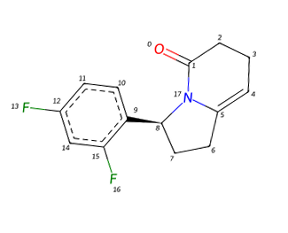 O=C1CCC=C2CC[C@@H](c3ccc(F)cc3F)N12